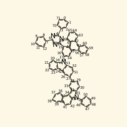 c1ccc(-c2nc(-c3ccccc3)nc(-c3cc(-n4c5ccccc5c5cc(-c6ccc7c(c6)c6c8ccccc8ccc6n7-c6ccccc6)ccc54)cc4c5ccccc5c5ccccc5c34)n2)cc1